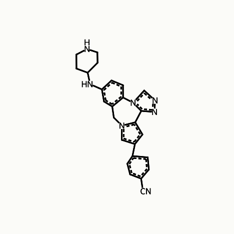 N#Cc1ccc(-c2cc3n(c2)Cc2cc(NC4CCNCC4)ccc2-n2cnnc2-3)cc1